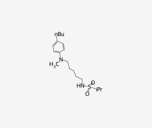 CCCCc1ccc(N(C)CCCCCNS(=O)(=O)C(C)C)cc1